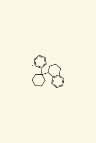 [c]1ccccc1C1(C2CCCc3ccccc32)CCCCC1